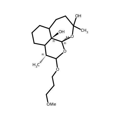 COCCCOC1O[C@@H]2OC(C)(O)CCC3CCCC([C@H]1C)[C@]32O